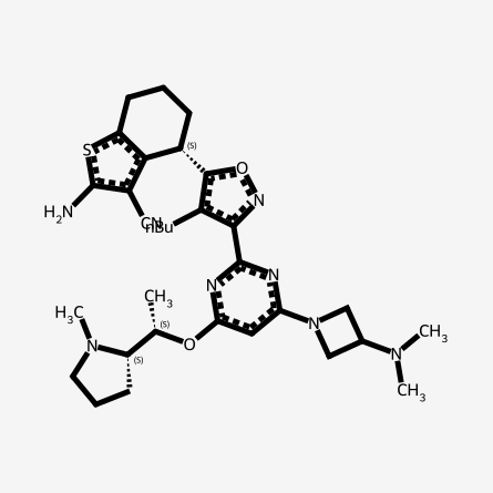 CCCCc1c(-c2nc(O[C@@H](C)[C@@H]3CCCN3C)cc(N3CC(N(C)C)C3)n2)noc1[C@H]1CCCc2sc(N)c(C#N)c21